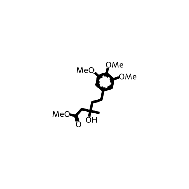 COC(=O)CC(C)(O)CCc1cc(OC)c(OC)c(OC)c1